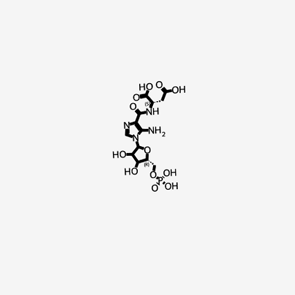 Nc1c(C(=O)N[C@@H](CC(=O)O)C(=O)O)ncn1C1O[C@H](COP(=O)(O)O)C(O)C1O